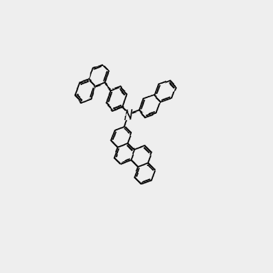 c1ccc2cc(N(c3ccc(-c4cccc5ccccc45)cc3)c3ccc4ccc5c6ccccc6ccc5c4c3)ccc2c1